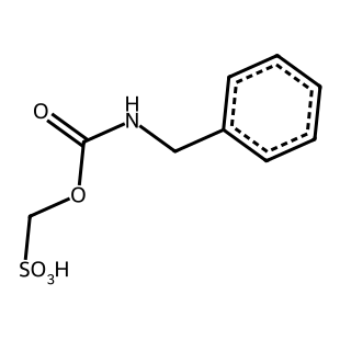 O=C(NCc1ccccc1)OCS(=O)(=O)O